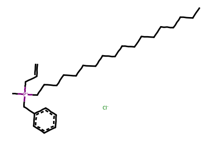 C=CC[P+](C)(CCCCCCCCCCCCCCCCCC)Cc1ccccc1.[Cl-]